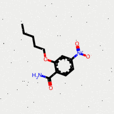 CCCCCOc1cc([N+](=O)[O-])ccc1C(N)=O